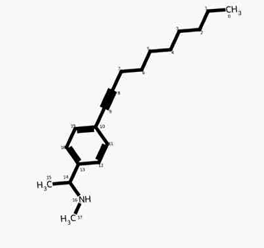 CCCCCCCCC#Cc1ccc(C(C)NC)cc1